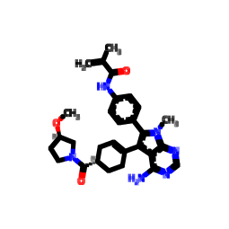 C=C(C)C(=O)Nc1ccc(-c2c(C3=CC[C@@H](C(=O)N4CC[C@@H](OC)C4)CC3)c3c(N)ncnc3n2C)cc1